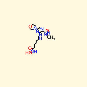 Cc1noc(-c2ncc(N3CCOCC3)nc2NCCCCCCC(=O)NO)n1